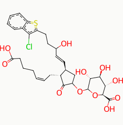 O=C(O)CCC/C=C\C[C@H]1C(=O)C(OC2O[C@H](C(=O)O)[C@@H](O)[C@H](O)[C@H]2O)C[C@@H]1/C=C/C(O)CCc1sc2ccccc2c1Cl